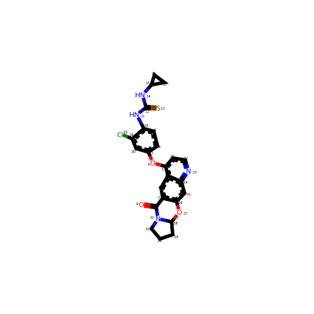 O=C1c2cc3c(Oc4ccc(NC(=S)NC5CC5)c(Cl)c4)ccnc3cc2OC2CCCN12